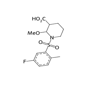 COC1C(C(=O)O)CCCN1S(=O)(=O)c1cc(F)ccc1C